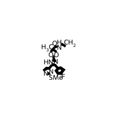 C=CCNC(=O)C1(C)COC(c2nc(-c3ccc(F)cc3)c(-c3ccnc(SC)n3)[nH]2)OC1